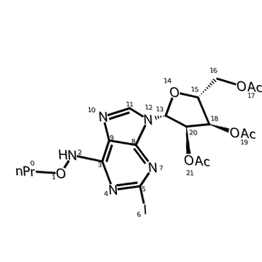 CCCONc1nc(I)nc2c1ncn2[C@@H]1O[C@H](COC(C)=O)[C@@H](OC(C)=O)[C@H]1OC(C)=O